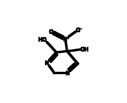 O=[N+]([O-])C1(O)C=NCN=C1O